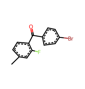 Cc1ccc(C(=O)c2ccc(Br)cc2)c(F)c1